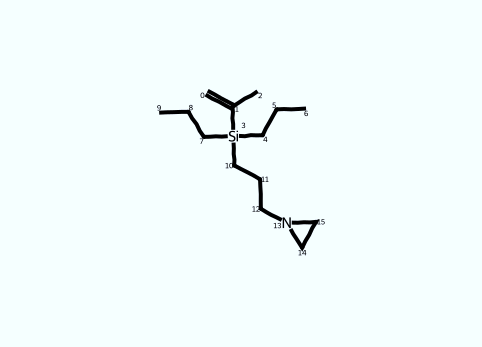 C=C(C)[Si](CCC)(CCC)CCCN1CC1